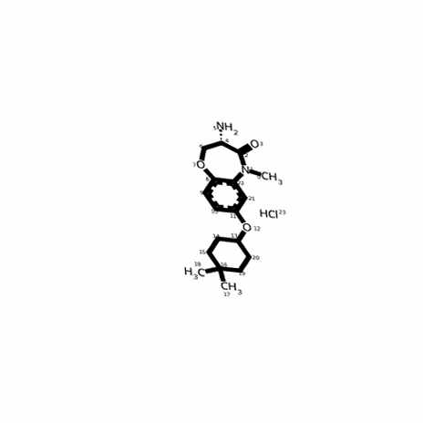 CN1C(=O)[C@@H](N)COc2ccc(OC3CCC(C)(C)CC3)cc21.Cl